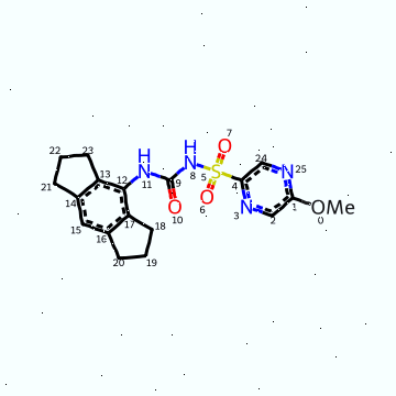 COc1cnc(S(=O)(=O)NC(=O)Nc2c3c(cc4c2CCC4)CCC3)cn1